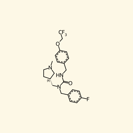 CN1CC[C@@H](CN(Cc2ccc(F)cc2)C(=O)NCc2ccc(OCC(F)(F)F)cc2)C1